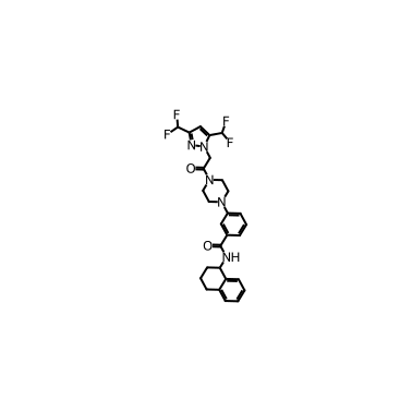 O=C(NC1CCCc2ccccc21)c1cccc(N2CCN(C(=O)Cn3nc(C(F)F)cc3C(F)F)CC2)c1